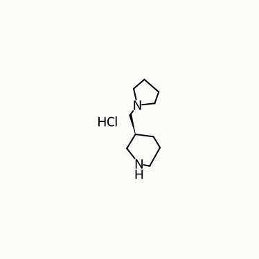 C1CNC[C@@H](CN2CCCC2)C1.Cl